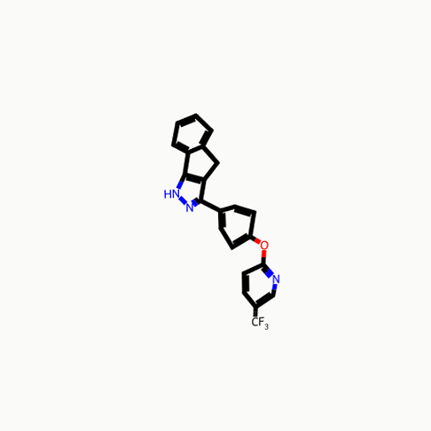 FC(F)(F)c1ccc(Oc2ccc(-c3n[nH]c4c3Cc3ccccc3-4)cc2)nc1